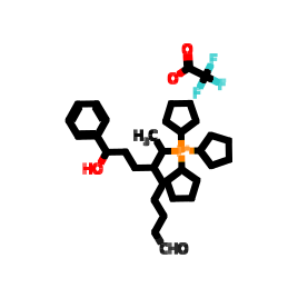 CC(C(CCCCC=O)CCC(O)c1ccccc1)[P+](C1CCCC1)(C1CCCC1)C1CCCC1.O=C([O-])C(F)(F)F